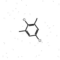 Cc1cc(Cl)cc(C)c1[O]